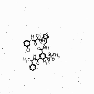 C[C@H](NC[C@H](Cc1ccsc1)NC(=O)c1cc(C(=O)N[C@H](C)c2ccccc2)cc(N(C)S(C)(=O)=O)c1)C(=O)Nc1cccc(Cl)c1